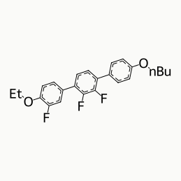 CCCCOc1ccc(-c2ccc(-c3ccc(OCC)c(F)c3)c(F)c2F)cc1